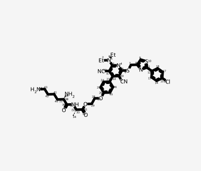 CCN(CC)c1nc(SCc2csc(-c3ccc(Cl)cc3)n2)c(C#N)c(-c2ccc(OCCOC(=O)[C@H](C)NC(=O)[C@@H](N)CCCCN)cc2)c1C#N